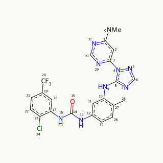 CNc1cc(-n2ncnc2Nc2cc(NC(=O)Nc3cc(C(F)(F)F)ccc3Cl)ccc2C)ncn1